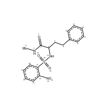 CC(C)(C)NC(=O)C(CCc1ccccc1)NS(=O)(=O)c1ccccc1[N+](=O)[O-]